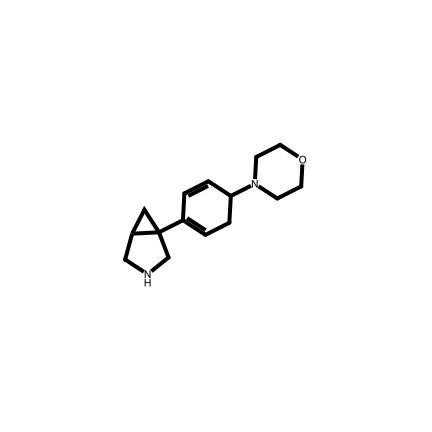 C1=CC(N2CCOCC2)CC=C1C12CNCC1C2